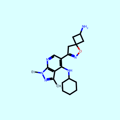 CCn1nc(C)c2c(NC3CCCCC3)c(C3=NOC4(C3)CC(N)C4)cnc21